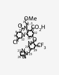 COC[C@H](C)N(C(=O)c1ccc(Cl)cn1)c1ccc(Oc2ncc(Cn3nccn3)cc2C(F)(F)F)cc1C(=O)O